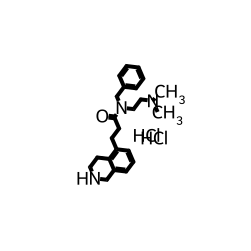 CN(C)CCN(Cc1ccccc1)C(=O)CCc1cccc2c1CCNC2.Cl.Cl